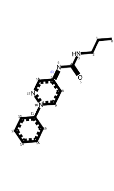 CCCNC(=O)/N=c1\ccn(-c2ccccc2)nc1